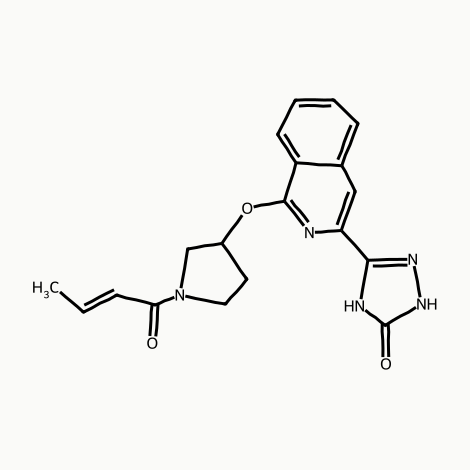 CC=CC(=O)N1CCC(Oc2nc(-c3n[nH]c(=O)[nH]3)cc3ccccc23)C1